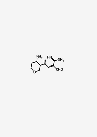 N=C(N)/C(C=O)=C\NC1COCC[C@@H]1N